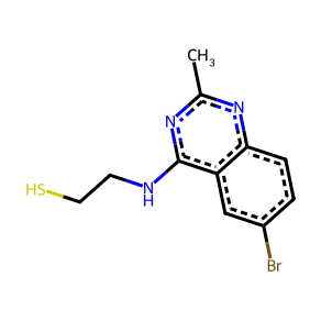 Cc1nc(NCCS)c2cc(Br)ccc2n1